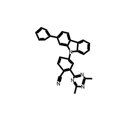 Cc1nc(C)nc(-c2cc(-n3c4ccccc4c4ccc(-c5ccccc5)cc43)ccc2C#N)n1